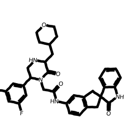 O=C(CN1C(=O)C(CC2CCOCC2)NCC1c1cc(F)cc(F)c1)Nc1ccc2c(c1)CC1(C2)C(=O)Nc2ccccc21